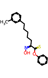 Cc1cccc(CCCCCC(=NO)C(=S)Oc2ccccc2)c1